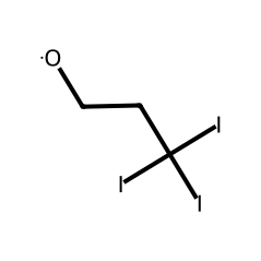 [O]CCC(I)(I)I